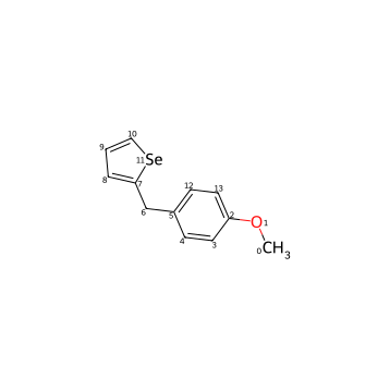 COc1ccc(Cc2ccc[se]2)cc1